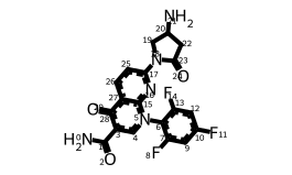 NC(=O)c1cn(-c2c(F)cc(F)cc2F)c2nc(N3CC(N)CC3=O)ccc2c1=O